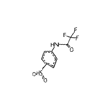 O=C(Nc1ccc([SH](=O)=O)cc1)C(F)(F)F